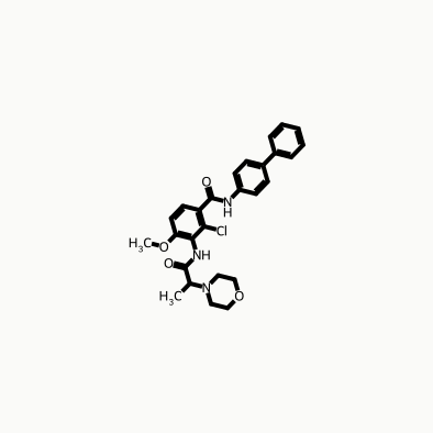 COc1ccc(C(=O)Nc2ccc(-c3ccccc3)cc2)c(Cl)c1NC(=O)C(C)N1CCOCC1